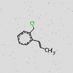 CC=Cc1ccccc1CCl